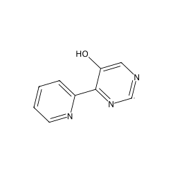 Oc1cn[c]nc1-c1ccccn1